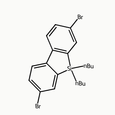 CCCC[Si]1(CCCC)c2cc(Br)ccc2-c2ccc(Br)cc21